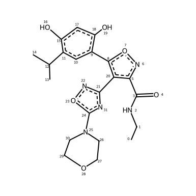 CCNC(=O)c1noc(-c2cc(C(C)C)c(O)cc2O)c1-c1noc(N2CCOCC2)n1